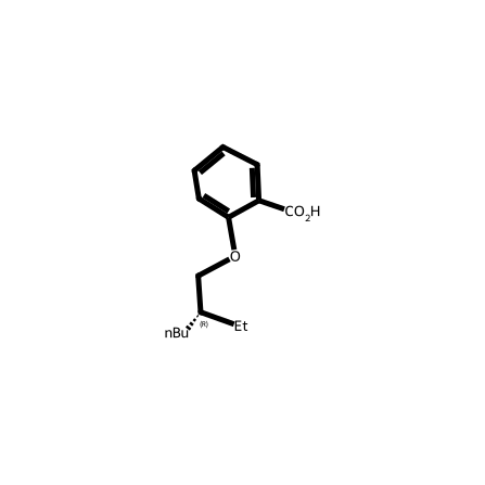 CCCC[C@@H](CC)COc1ccccc1C(=O)O